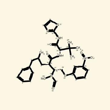 CC(Cc1ccccc1)C[C@@H](C(=O)N[C@H](C(=O)Nc1nccs1)C(C)(C)C)[C@H](COc1cccc([N+](=O)[O-])c1)N(O)C=O